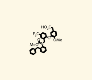 COC(=O)N(Cc1cc(C(F)(F)F)ccc1Oc1cc(CC(=O)O)ccc1OC)c1ccccc1Cc1ccccc1